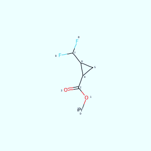 CC(C)OC(=O)C1CC1C(F)F